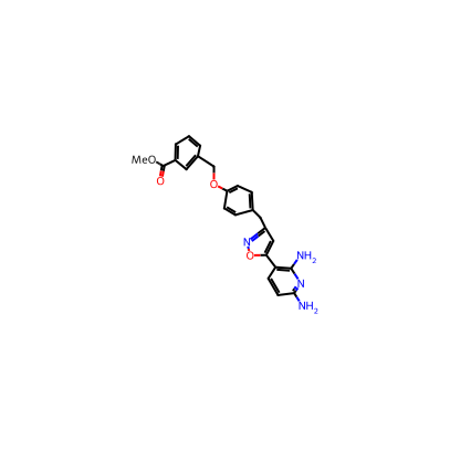 COC(=O)c1cccc(COc2ccc(Cc3cc(-c4ccc(N)nc4N)on3)cc2)c1